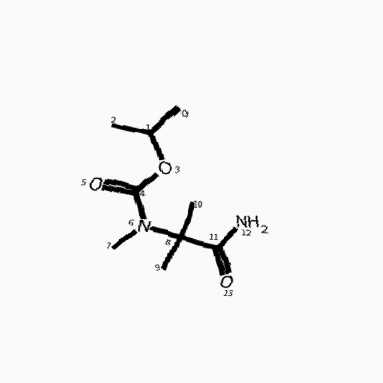 CC(C)OC(=O)N(C)C(C)(C)C(N)=O